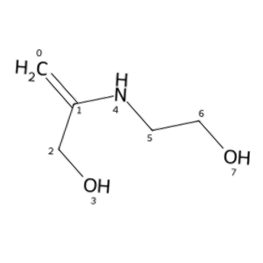 C=C(CO)NCCO